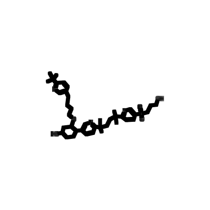 CC(C)(C)c1ccc(CCCCOC2CC(O)CCC2c2ccc(C(C)(C)CCC(C)(C)c3ccc(S(=O)(=O)CCCO)cn3)nc2)cn1